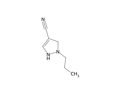 CCCN1CC(C#N)=CN1